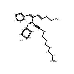 CCCCCCCCCCCCC=CC(=Nc1ccccc1)C(C#CCCCCCCCCCCCCCCCCC)=Nc1ccccc1.[Ni]